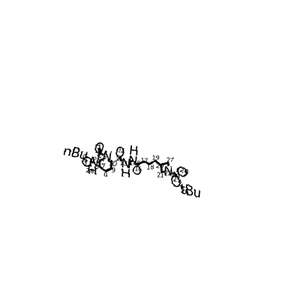 CCCCON1C(=O)N2C[C@H]1CC[C@H]2C(=O)NNC(=O)CCCC1CN(C(=O)OC(C)(C)C)C1